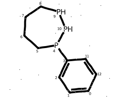 c1ccc(P2CCCCPP2)cc1